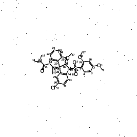 COc1ccc(S(=O)(=O)N2C(=O)C(NCC(=O)N(C)C)(c3cccnc3OC)c3cc(Cl)ccc32)c(OC)c1